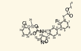 CCOC(=O)Cc1cccc(-c2ccc(-c3onc(C)c3NC(=O)OC(C)c3ccccc3Cl)cc2)c1F